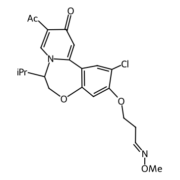 CO/N=C/CCOc1cc2c(cc1Cl)-c1cc(=O)c(C(C)=O)cn1C(C(C)C)CO2